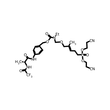 CCN(COC/C(C)=C/CCP(=O)(OCCC#N)OCCC#N)C(=O)OCc1ccc(NC(=O)[C@H](C)NC(=O)C(F)(F)F)cc1